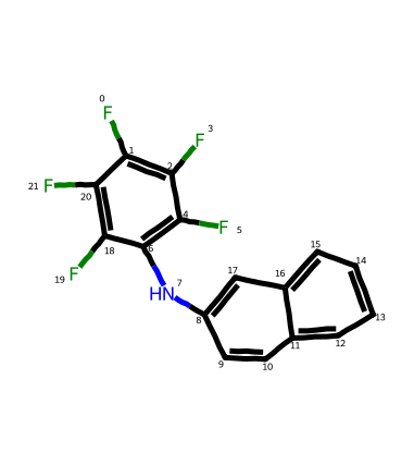 Fc1c(F)c(F)c(Nc2ccc3ccccc3c2)c(F)c1F